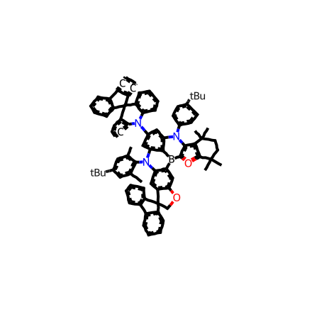 Cc1cc(C(C)(C)C)cc(C)c1N1c2cc3c(cc2B2c4oc5c(c4N(c4ccc(C(C)(C)C)cc4)c4cc(N6c7ccccc7C7(c8ccccc8-c8ccccc87)c7ccccc76)cc1c42)C(C)(C)CCC5(C)C)OCC31c2ccccc2-c2ccccc21